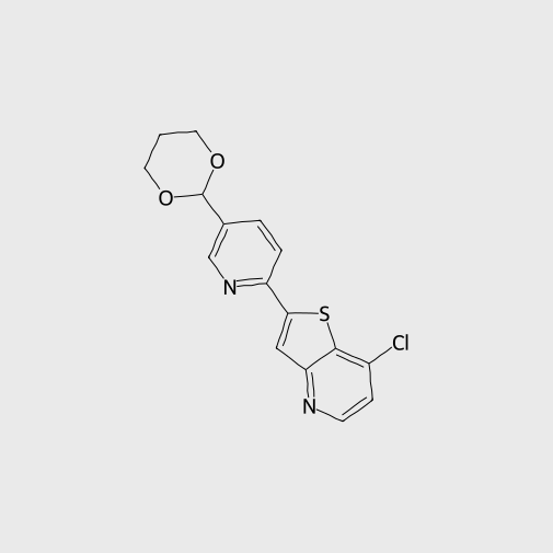 Clc1ccnc2cc(-c3ccc(C4OCCCO4)cn3)sc12